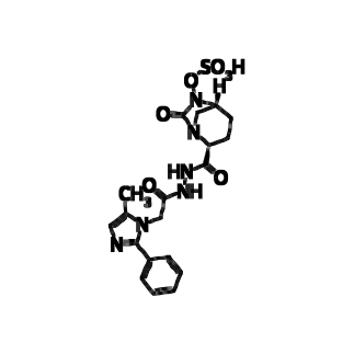 Cc1cnc(-c2ccccc2)n1CC(=O)NNC(=O)[C@@H]1CC[C@@H]2CN1C(=O)N2OS(=O)(=O)O